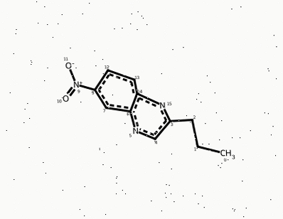 CCCc1cnc2cc([N+](=O)[O-])ccc2n1